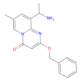 Cc1cc(C(C)N)c2nc(OCc3ccccc3)cc(=O)n2c1